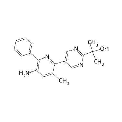 Cc1cc(N)c(-c2ccccc2)nc1-c1cnc(C(C)(C)O)nc1